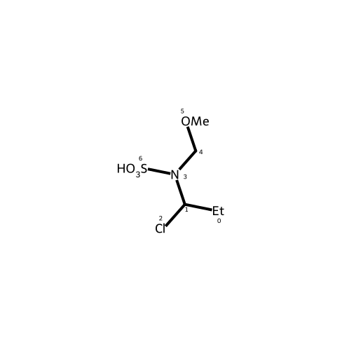 CCC(Cl)N(COC)S(=O)(=O)O